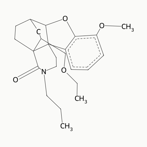 CCCN1CCC23c4cccc(OC)c4OC2C2CCC3(C1=O)C(COCC)C2